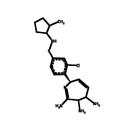 CC1CCCC1NSc1ccc([C@H]2C=CC(N)C(N)C(N)=N2)c(Cl)c1